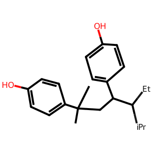 CCC(C(C)C)C(CC(C)(C)c1ccc(O)cc1)c1ccc(O)cc1